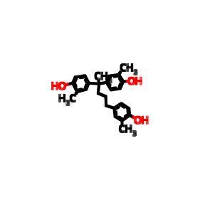 Cc1cc(CCCC(C)(c2ccc(O)c(C)c2)c2ccc(O)c(C)c2)ccc1O